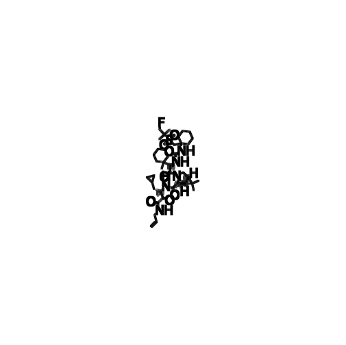 C=CCNC(=O)C(=O)[C@H](CC1CC1)NC(=O)[C@@H]1[C@@H]2[C@H](CN1C(=O)[C@@H](NC(=O)NC1(CS(=O)(=O)C(C)(C)CF)CCCCC1)C1(C)CCCCC1)C2(C)C